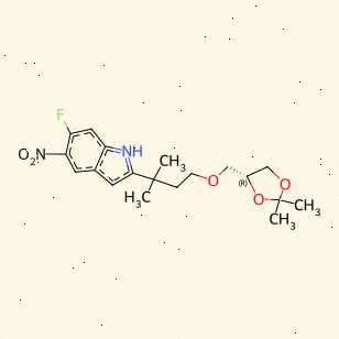 CC1(C)OC[C@@H](COCCC(C)(C)c2cc3cc([N+](=O)[O-])c(F)cc3[nH]2)O1